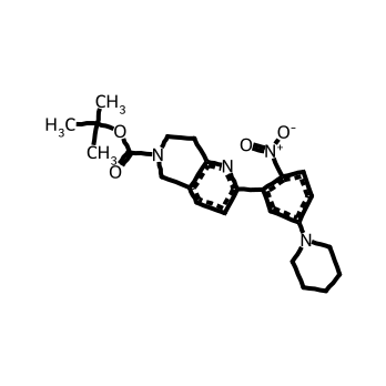 CC(C)(C)OC(=O)N1CCc2nc(-c3cc(N4CCCCC4)ccc3[N+](=O)[O-])ccc2C1